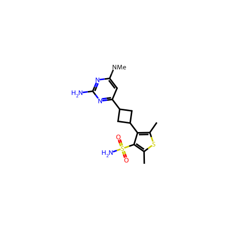 CNc1cc(C2CC(c3c(C)sc(C)c3S(N)(=O)=O)C2)nc(N)n1